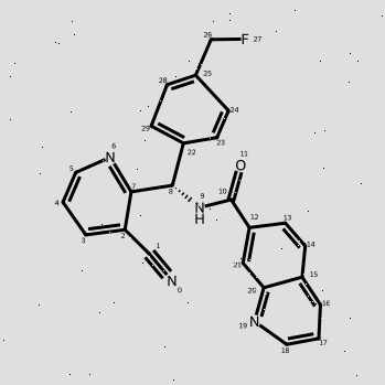 N#Cc1cccnc1[C@@H](NC(=O)c1ccc2cccnc2c1)c1ccc(CF)cc1